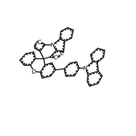 c1ccc2c(c1)Oc1ccc(-c3ccc(-n4c5ccccc5c5ccccc54)cc3)cc1C21c2ccccc2-n2c3ccccc3c3cccc1c32